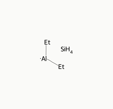 C[CH2][Al][CH2]C.[SiH4]